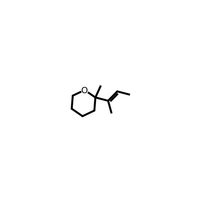 CC=C(C)C1(C)CCCCO1